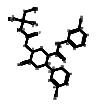 CC(C)(CO)NC(=O)CN1CC(C(=O)Nc2cccc(Cl)c2)C([C@@H]2C=C(Cl)C=CC2)CC1=O